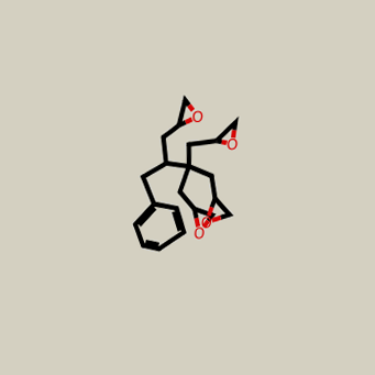 c1ccc(CC(CC2CO2)C(CC2CO2)(CC2CO2)CC2CO2)cc1